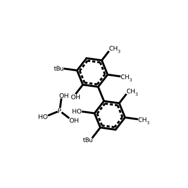 Cc1cc(C(C)(C)C)c(O)c(-c2c(C)c(C)cc(C(C)(C)C)c2O)c1C.OP(O)O